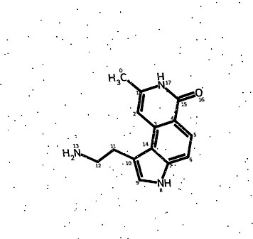 Cc1cc2c(ccc3[nH]cc(CCN)c32)c(=O)[nH]1